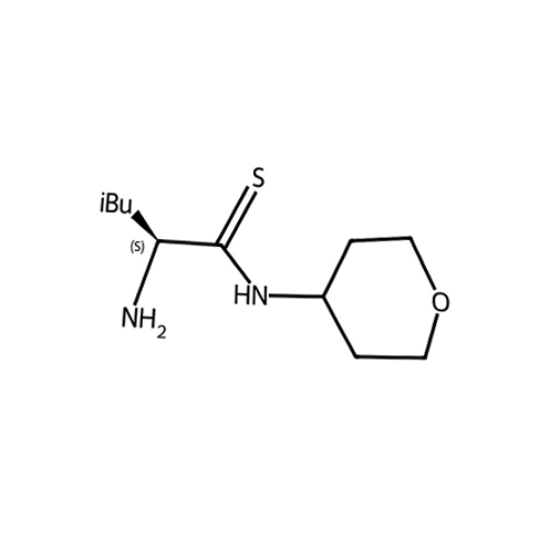 CCC(C)[C@H](N)C(=S)NC1CCOCC1